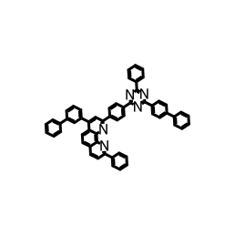 c1ccc(-c2ccc(-c3nc(-c4ccccc4)nc(-c4ccc(-c5cc(-c6cccc(-c7ccccc7)c6)c6ccc7ccc(-c8ccccc8)nc7c6n5)cc4)n3)cc2)cc1